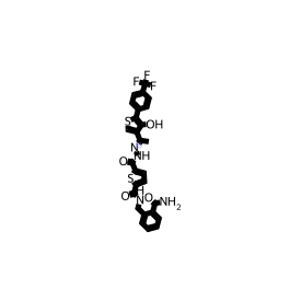 C/C(=N\NC(=O)c1ccc(C(=O)NCc2ccccc2C(N)=O)s1)c1csc(-c2ccc(C(F)(F)F)cc2)c1O